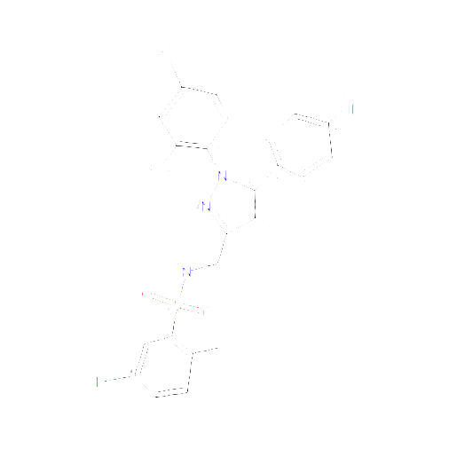 Cc1ccc(F)cc1S(=O)(=O)NCC1=NN(c2ccc(Cl)cc2Cl)C(c2ccc(O)cc2)C1